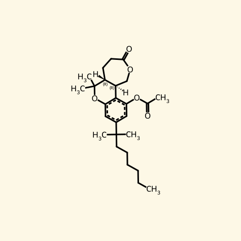 CCCCCCC(C)(C)c1cc(OC(C)=O)c2c(c1)OC(C)(C)[C@@H]1CCC(=O)OC[C@@H]21